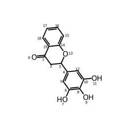 O=C1CC(c2cc(O)c(O)c(O)c2)Oc2ccccc21